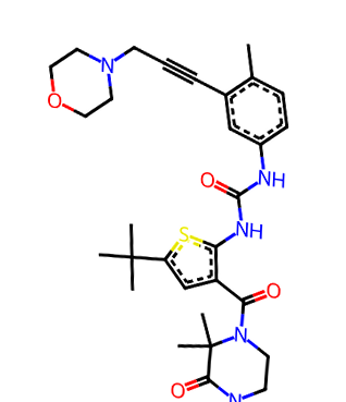 Cc1ccc(NC(=O)Nc2sc(C(C)(C)C)cc2C(=O)N2CCNC(=O)C2(C)C)cc1C#CCN1CCOCC1